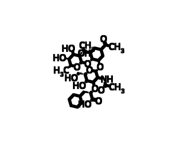 CCC1CC(C(C)=O)C[C@@H](O[C@@H]2O[C@@H](CO)C(O)C(O[C@@H](CC3CCCCC3)C(=O)O)C2NC(C)=O)[C@H]1OC1O[C@@H](C)[C@H](O)C(O)[C@@H]1O